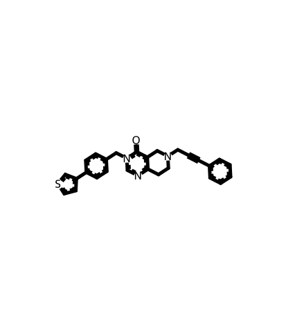 O=c1c2c(ncn1Cc1ccc(-c3ccsc3)cc1)CCN(CC#Cc1ccccc1)C2